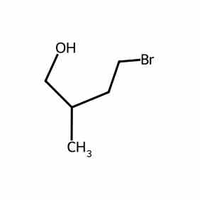 CC(CO)CCBr